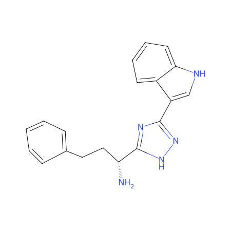 N[C@H](CCc1ccccc1)c1nc(-c2c[nH]c3ccccc23)n[nH]1